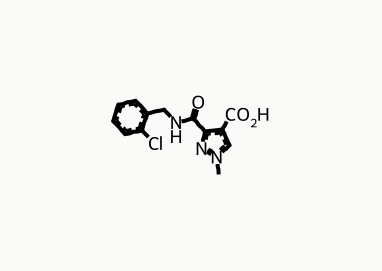 Cn1cc(C(=O)O)c(C(=O)NCc2ccccc2Cl)n1